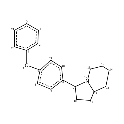 c1ccc(Oc2ccc(C3CCC4CCCCN43)cc2)cc1